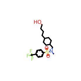 CN(CC1CCC(CCCCO)CC1)S(=O)(=O)c1ccc(C(F)(F)F)cc1